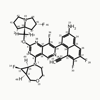 [2H]C([2H])(Oc1nc(N2CCOC[C@H]3[C@@H](F)[C@H]32)c2cnc(-c3cc(N)cc4cc(F)c(F)c(C#C)c34)c(F)c2n1)[C@@]12CCCN1C[C@H](F)C2